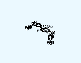 COc1nc(N[C@@H]2CCN(S(C)(=O)=O)CC2(F)F)nn2cc(F)c(-c3ccc4nnn(C5CC(F)(F)C5)c4c3)c12